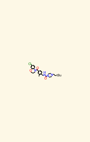 Cc1cc(C(=O)N2CCCOc3cc(Cl)ccc32)ccc1CNC(=O)N1CCN(CCC(C)(C)C)CC1